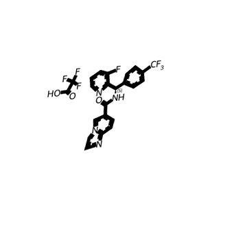 O=C(N[C@@H](c1ccc(C(F)(F)F)cc1)c1ncccc1F)c1ccc2nccn2c1.O=C(O)C(F)(F)F